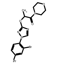 CC(Oc1ncn(-c2ccc(C(C)C)cc2Br)n1)C(=O)N1CCOCC1